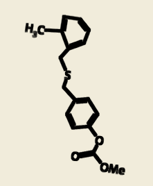 COC(=O)Oc1ccc(CSCc2ccccc2C)cc1